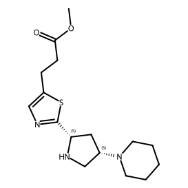 COC(=O)CCc1cnc([C@@H]2C[C@H](N3CCCCC3)CN2)s1